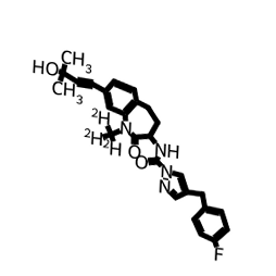 [2H]C([2H])([2H])N1C(=O)C(NC(=O)n2cc(Cc3ccc(F)cc3)cn2)CCc2ccc(C#CC(C)(C)O)cc21